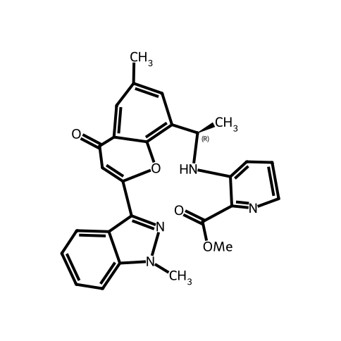 COC(=O)c1ncccc1N[C@H](C)c1cc(C)cc2c(=O)cc(-c3nn(C)c4ccccc34)oc12